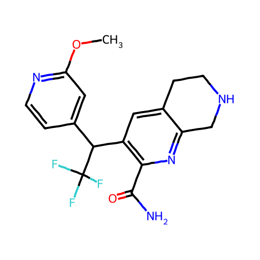 COc1cc(C(c2cc3c(nc2C(N)=O)CNCC3)C(F)(F)F)ccn1